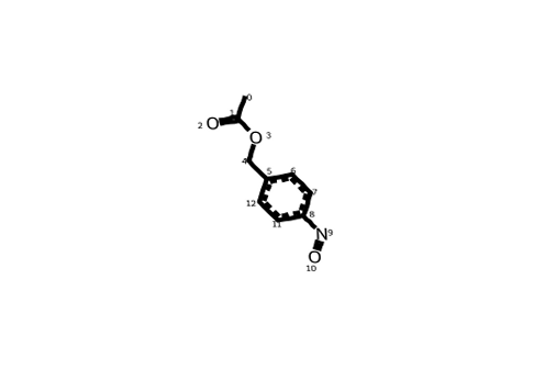 CC(=O)OCc1ccc(N=O)cc1